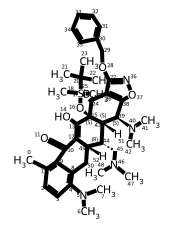 Cc1ccc(N(C)C)c2c1C(=O)C1=C(O)[C@]3(O[Si](C)(C)C(C)(C)C)C(=O)c4c(OCc5ccccc5)noc4[C@@H](N(C)C)[C@@H]3[C@H](CN(C)C)[C@@H]1C2